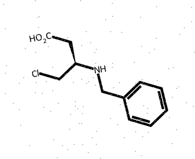 O=C(O)C[C@H](CCl)NCc1ccccc1